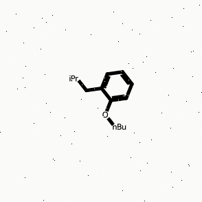 [CH2]C(C)Cc1ccccc1OCCCC